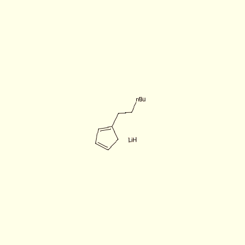 CCCCCCC1=CC=CC1.[LiH]